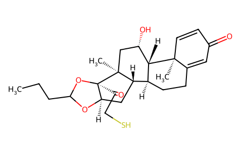 CCCC1O[C@@H]2C[C@H]3[C@@H]4CCC5=CC(=O)C=C[C@]5(C)[C@H]4[C@@H](O)C[C@]3(C)[C@]2(C(=O)CS)O1